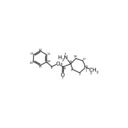 CN1CCC(N)(C(=O)OCc2ccccc2)CC1